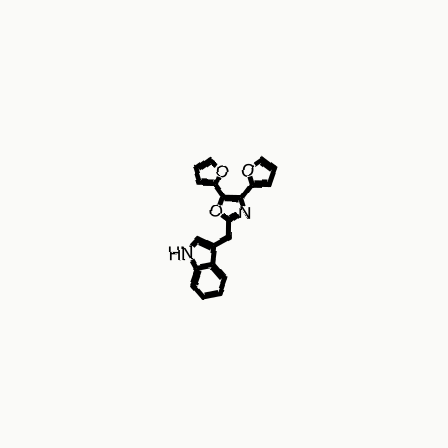 c1coc(-c2nc(Cc3c[nH]c4ccccc34)oc2-c2ccco2)c1